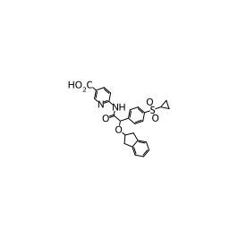 O=C(O)c1ccc(NC(=O)C(OC2Cc3ccccc3C2)c2ccc(S(=O)(=O)C3CC3)cc2)nc1